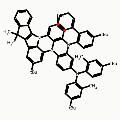 Cc1cc(C(C)(C)C)ccc1N(c1ccc2c(c1)N(c1ccc(C(C)(C)C)cc1C1=CCCC=C1)c1cc(C(C)(C)C)cc3c1B2C1=CC(C(C)(C)C)=CC2C4C5=C(c6ccccc6C5(C)C)N3C124)c1ccc(C(C)(C)C)cc1C